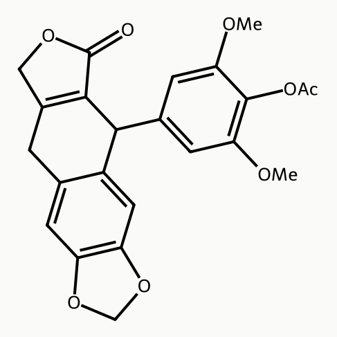 COc1cc(C2C3=C(COC3=O)Cc3cc4c(cc32)OCO4)cc(OC)c1OC(C)=O